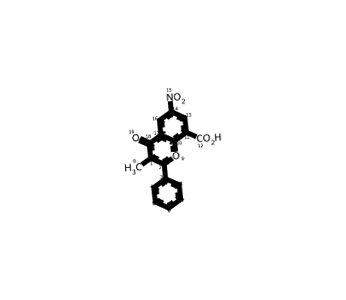 Cc1c(-c2ccccc2)oc2c(C(=O)O)cc([N+](=O)[O-])cc2c1=O